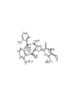 Cc1ccccc1C(=O)C(O)[C@H]1O[C@@H](n2cc(CO)c(=O)[nH]c2=O)C[C@@]1(O)C(=O)c1ccccc1C